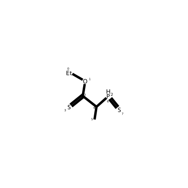 CCOC(=S)C(C)[PH2]=S